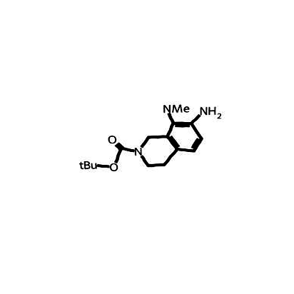 CNc1c(N)ccc2c1CN(C(=O)OC(C)(C)C)CC2